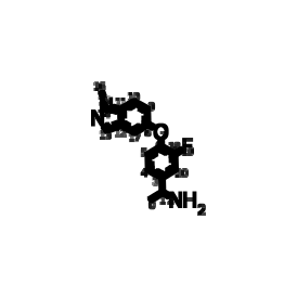 CC(N)c1ccc(Oc2ccc3c(cnn3C)c2)c(F)c1